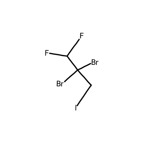 FC(F)C(Br)(Br)CI